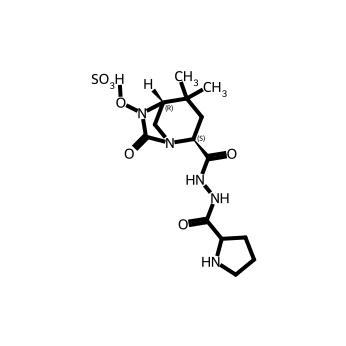 CC1(C)C[C@@H](C(=O)NNC(=O)C2CCCN2)N2C[C@@H]1N(OS(=O)(=O)O)C2=O